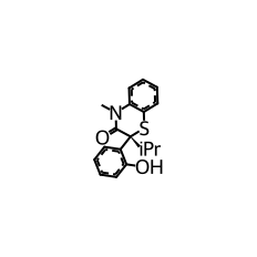 CC(C)[C@]1(c2ccccc2O)Sc2ccccc2N(C)C1=O